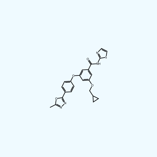 Cc1nnc(-c2ccc(Oc3cc(OCC4CC4)cc(C(=O)Nc4nccs4)c3)cc2)o1